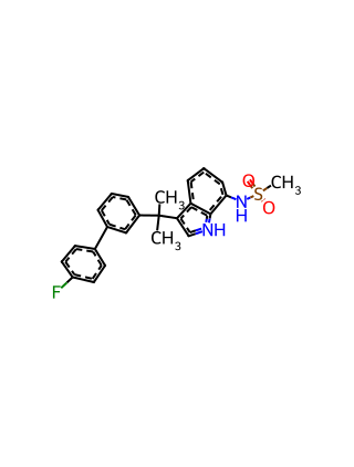 CC(C)(c1cccc(-c2ccc(F)cc2)c1)c1c[nH]c2c(NS(C)(=O)=O)cccc12